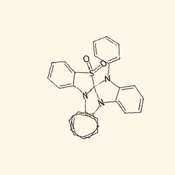 O=S1(=O)c2ccccc2N(c2ccccc2)C12N(C1=CC=CCC1)c1ccccc1N2c1ccccc1